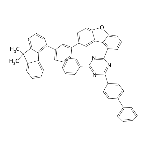 CC1(C)c2ccccc2-c2c(-c3cccc(-c4ccc5oc6cccc(-c7nc(-c8ccccc8)nc(-c8ccc(-c9ccccc9)cc8)n7)c6c5c4)c3)cccc21